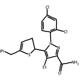 CCc1c(C(N)=O)nn(-c2ccc(Cl)cc2Cl)c1C1CC=C(CC(C)C)S1